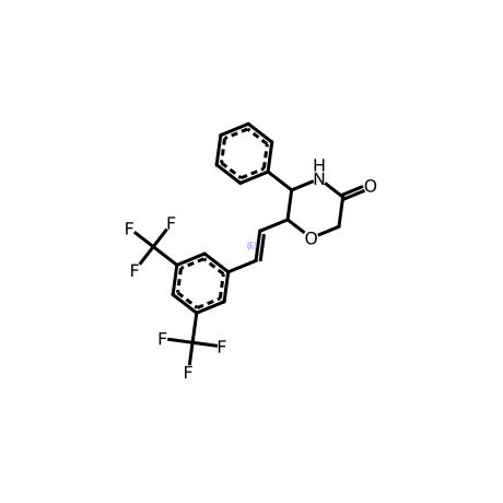 O=C1COC(/C=C/c2cc(C(F)(F)F)cc(C(F)(F)F)c2)C(c2ccccc2)N1